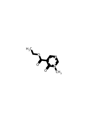 CCOC(=O)c1cncn(C)c1=O